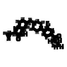 [2H]C([2H])([2H])NC(=O)c1ccc(N2CCN(Cc3ccc4nc(C5CC5)c(=O)[nH]c4c3)CC2)c(F)n1